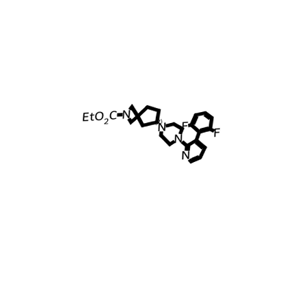 CCOC(=O)N1CC2(CC[C@@H](N3CCN(c4ncccc4-c4c(F)cccc4F)CC3)C2)C1